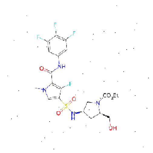 CCOC(=O)N1C[C@H](NS(=O)(=O)c2cn(C)c(C(=O)Nc3cc(F)c(F)c(F)c3)c2F)C[C@@H]1CO